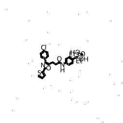 CCC(CC)(c1ccc(NC(=O)CCc2oc(-c3cccs3)nc2-c2ccc(Cl)cc2)cc1)P(=O)(O)O